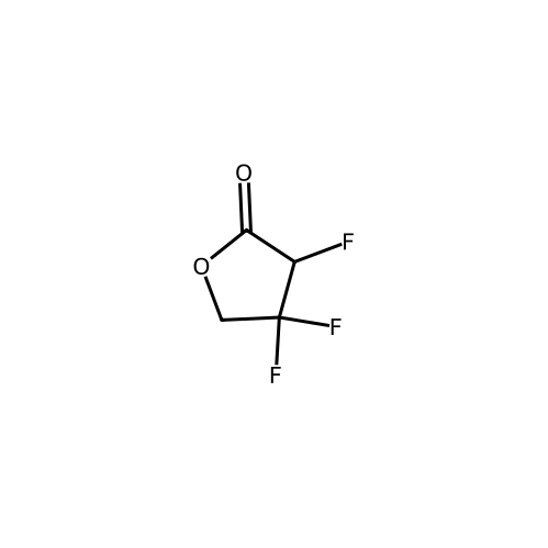 O=C1OCC(F)(F)C1F